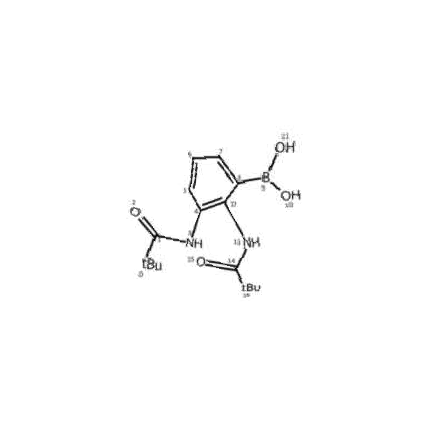 CC(C)(C)C(=O)Nc1cccc(B(O)O)c1NC(=O)C(C)(C)C